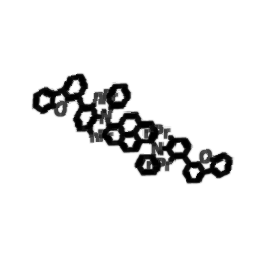 CCCc1ccc(-c2cccc3c2oc2ccccc23)c(CCC)c1N(c1ccccc1)c1ccc2ccc3c(N(c4ccccc4)c4c(CCC)ccc(-c5cccc6c5oc5ccccc56)c4CCC)ccc4ccc1c2c43